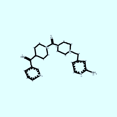 N=C(c1cccnc1)C1CCN(C(=O)C2CCN(Cc3ccnc(N)c3)CC2)CC1